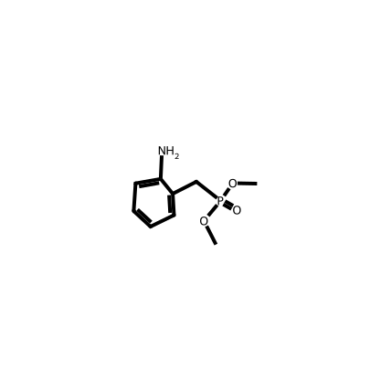 COP(=O)(Cc1ccccc1N)OC